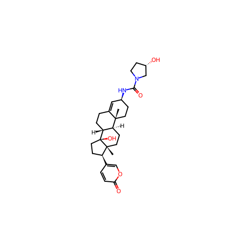 C[C@]12CC[C@H](NC(=O)N3CC[C@H](O)C3)C=C1CC[C@@H]1[C@@H]2CC[C@]2(C)[C@@H](c3ccc(=O)oc3)CC[C@]12O